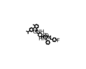 Cc1cccc(C(=O)NC2(C)CCC(C)(C(=O)N[C@H](C(=O)N(C)Cc3ccc(F)cc3)c3ccccc3)CC2)c1-c1ccc(C(C)C)cc1